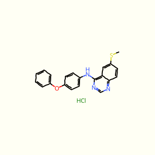 CSc1ccc2ncnc(Nc3ccc(Oc4ccccc4)cc3)c2c1.Cl